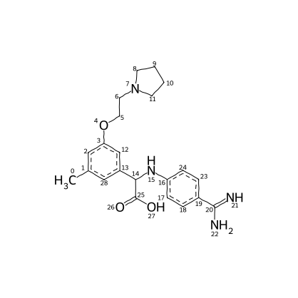 Cc1cc(OCCN2CCCC2)cc(C(Nc2ccc(C(=N)N)cc2)C(=O)O)c1